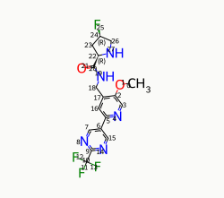 COc1cnc(-c2cnc(C(F)(F)F)nc2)cc1CNC(=O)[C@H]1C[C@@H](F)CN1